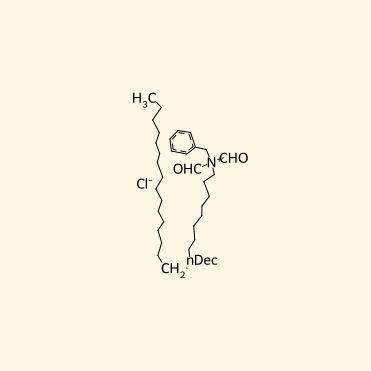 CCCCCCCCCCCCCCCCCC[N+](C=O)(C=O)Cc1ccccc1.[CH2]CCCCCCCCCCCCCCC.[Cl-]